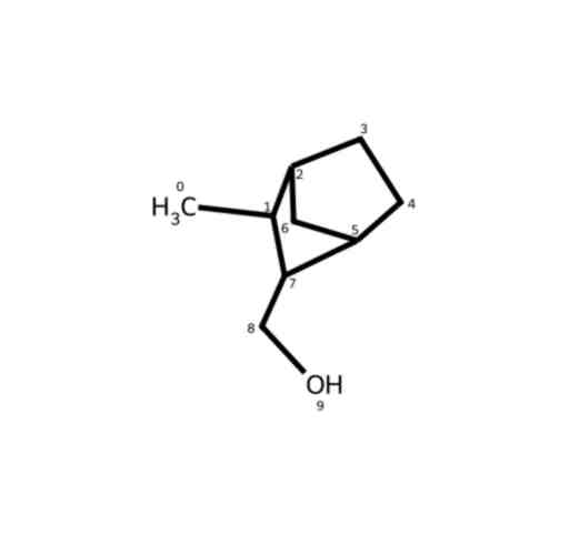 CC1C2CCC(C2)C1CO